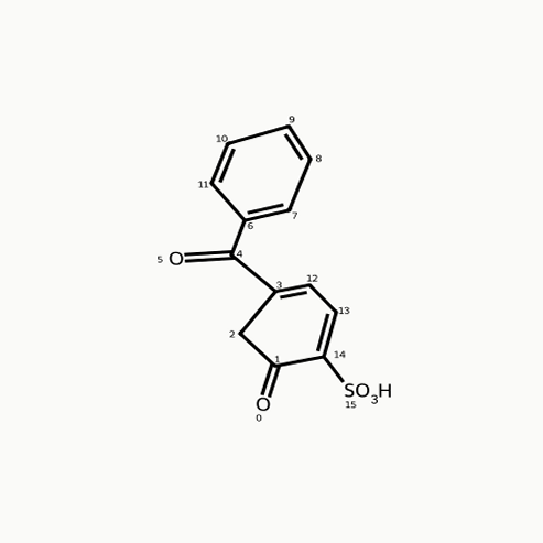 O=C1CC(C(=O)c2ccccc2)=CC=C1S(=O)(=O)O